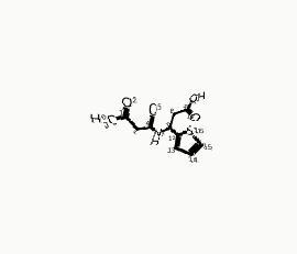 CC(=O)CC(=O)NC(CC(=O)O)c1cccs1